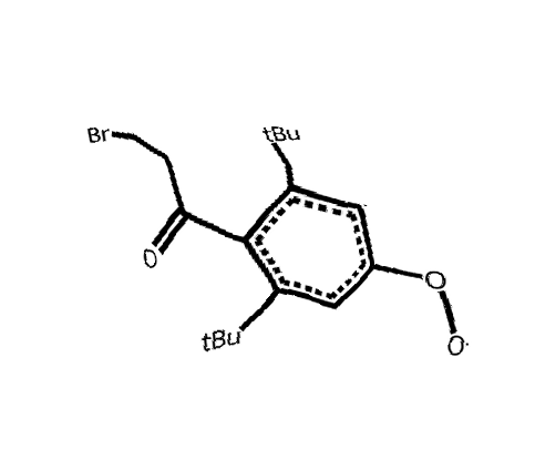 CC(C)(C)c1[c]c(O[O])cc(C(C)(C)C)c1C(=O)CBr